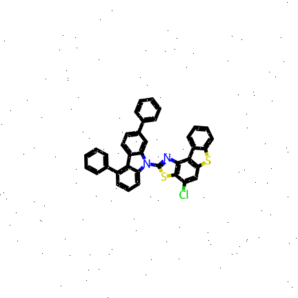 Clc1cc2sc3ccccc3c2c2nc(-n3c4cc(-c5ccccc5)ccc4c4c(-c5ccccc5)cccc43)sc12